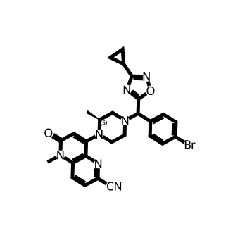 C[C@H]1CN(C(c2ccc(Br)cc2)c2nc(C3CC3)no2)CCN1c1cc(=O)n(C)c2ccc(C#N)nc12